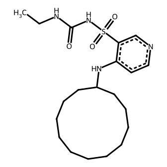 CCNC(=O)NS(=O)(=O)c1cnccc1NC1CCCCCCCCCCC1